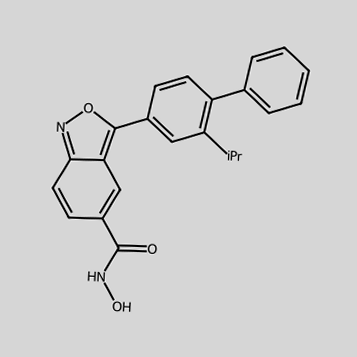 CC(C)c1cc(-c2onc3ccc(C(=O)NO)cc23)ccc1-c1ccccc1